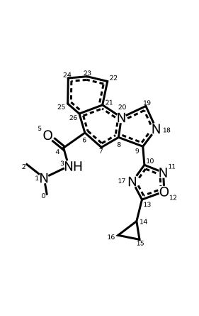 CN(C)NC(=O)c1cc2c(-c3noc(C4CC4)n3)ncn2c2ccccc12